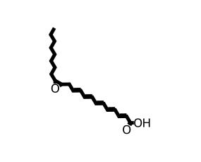 CCCCCCCCC1OC1CC=CC=CC=CC=CC=CC(=O)O